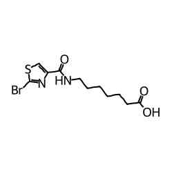 O=C(O)CCCCCCNC(=O)c1csc(Br)n1